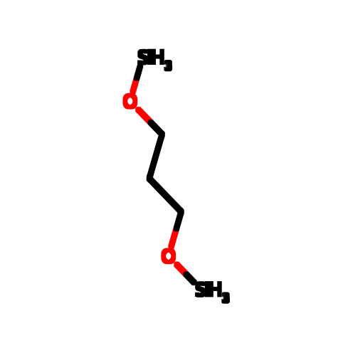 [SiH3]OCCCO[SiH3]